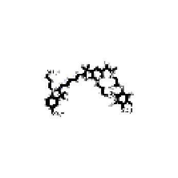 CN(OCC(=O)Oc1c(F)c(F)c(S(=O)(=O)O)c(F)c1F)C(=O)c1cc2c([n+](CCCS(=O)(=O)O)c1)N=C(/C=C/C=C/C=C1/N(CCCS(=O)(=O)O)c3ccc(S(=O)(=O)O)cc3C1(C)C)C2(C)C